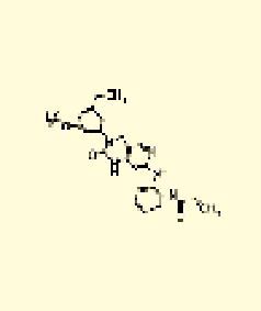 C=CC(=O)Nc1ccccc1Nc1ncc2c(n1)NC(=O)N(c1cc(CC)cc(OC)c1)C2